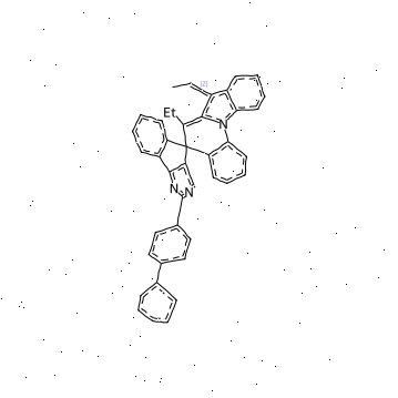 C/C=c1\c2n(c3ccccc13)-c1ccccc1C1(C=2CC)c2ccccc2-c2nc(-c3ccc(-c4ccccc4)cc3)ncc21